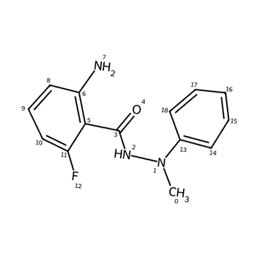 CN(NC(=O)c1c(N)cccc1F)c1ccccc1